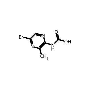 Cc1nc(Br)cnc1NC(=O)O